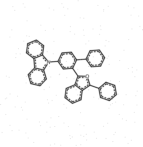 c1ccc(-c2ccc(-n3c4ccccc4c4ccccc43)cc2-c2oc(-c3ccccc3)c3ccccc23)cc1